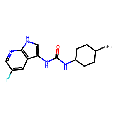 CCCCC1CCC(NC(=O)Nc2c[nH]c3ncc(F)cc23)CC1